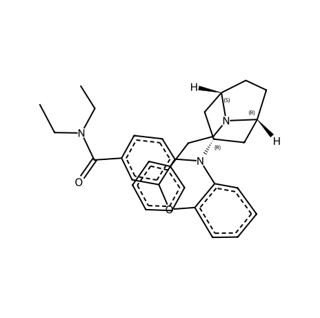 CCN(CC)C(=O)c1ccc2c(c1)Oc1ccccc1N2[C@H]1C[C@H]2CC[C@@H](C1)N2CCc1ccccc1